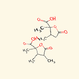 CC1C(=O)OC(C)(C(=O)O)C1C.CC1CC(=O)OC1(C)C(=O)O